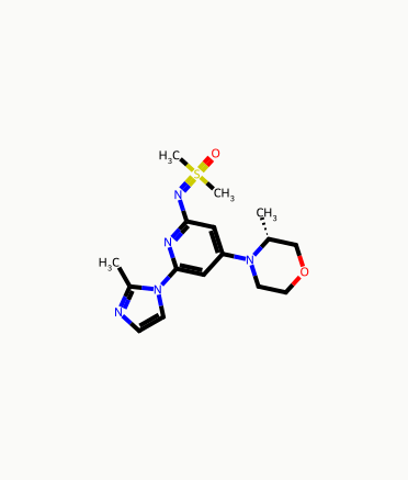 Cc1nccn1-c1cc(N2CCOC[C@H]2C)cc(N=S(C)(C)=O)n1